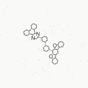 c1cc(-c2cccc(-c3c4oc5ccccc5c4cc4c3oc3ccccc34)c2)cc(-c2cnc3c4ccccc4c4ccccc4c3n2)c1